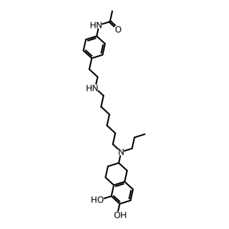 CCCN(CCCCCCNCCc1ccc(NC(C)=O)cc1)C1CCc2c(ccc(O)c2O)C1